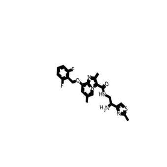 Cc1cc(OCc2c(F)cccc2F)c2nc(C)c(C(=O)NCC(N)c3csc(C)n3)n2c1